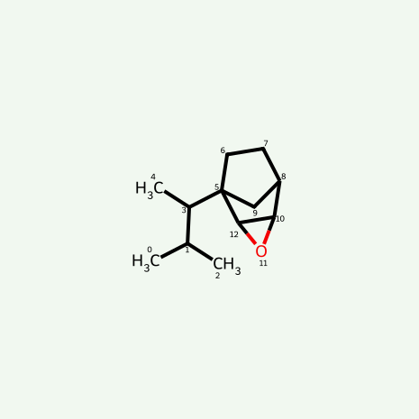 CC(C)C(C)C12CCC(C1)C1OC12